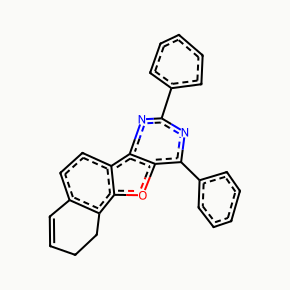 C1=Cc2ccc3c(oc4c(-c5ccccc5)nc(-c5ccccc5)nc43)c2CC1